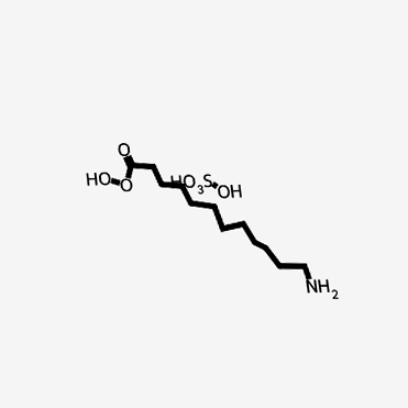 NCCCCCCCCCCCC(=O)OO.O=S(=O)(O)O